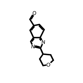 O=Cc1ccc2nc(C3CCOCC3)ncc2c1